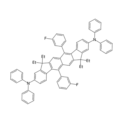 CCC1(CC)c2cc(N(c3ccccc3)c3ccccc3)ccc2-c2c1cc1c(-c3cccc(F)c3)c3c(cc1c2-c1cccc(F)c1)C(CC)(CC)c1cc(N(c2ccccc2)c2ccccc2)ccc1-3